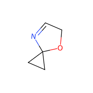 C1=NC2(CC2)OC1